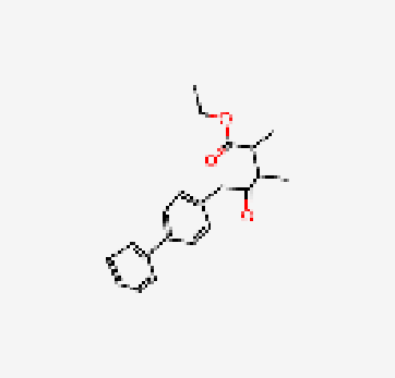 CCOC(=O)C(C)C(C)C(=O)Cc1ccc(-c2ccccc2)cc1